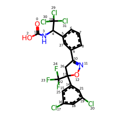 O=C(O)NC(c1cccc(C2=NOC(c3cc(Cl)cc(Cl)c3)(C(F)(F)F)C2)c1)C(Cl)(Cl)Cl